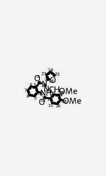 C=NN(C(=O)c1ccccc1NC(=O)c1ccc(OC)c(OC)c1)c1ccco1